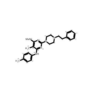 CNc1nc(N2CCN(CCc3ccccc3)CC2)nc(Nc2ccc(C)cc2)c1C